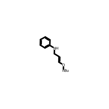 CCCCOC=CCNc1ccccc1